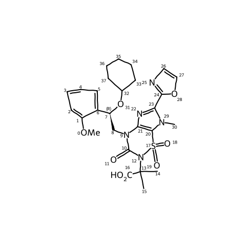 COc1ccccc1[C@H](CN1C(=O)N(C(C)(C)C(=O)O)S(=O)(=O)c2c1nc(-c1ncco1)n2C)OC1CCCCC1